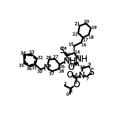 CC(C)OC(=O)N1CSC[C@H]1C(=O)N[C@H](CCC1CCCCC1)C(=S)NC1CCN(Cc2ccccc2)CC1